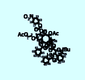 CC(=O)OCCO[C@@H]1C[C@H](OC(=O)Oc2ccc([N+](=O)[O-])cc2)[C@@]2(C)C(=O)[C@H](OC(C)=O)C3=C(C)[C@@H](OC(=O)[C@H](O[Si](C)(C)C(C)(C)C)[C@@H](NC(=O)c4ccccc4)c4ccccc4)C[C@@](O)([C@@H](OC(=O)c4ccccc4)[C@@H]2C1)C3(C)C